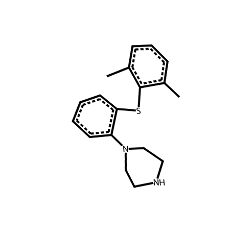 Cc1cccc(C)c1Sc1ccccc1N1CCNCC1